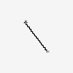 C[Si](C)(Cl)CCCCCCCCCCCCCCCCCCCCCCCCS